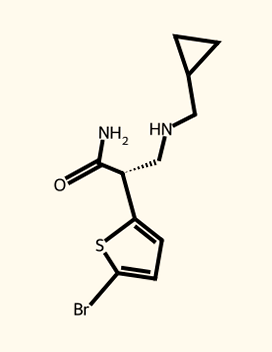 NC(=O)[C@H](CNCC1CC1)c1ccc(Br)s1